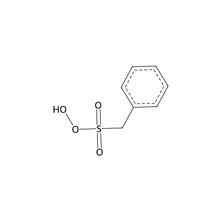 O=S(=O)(Cc1ccccc1)OO